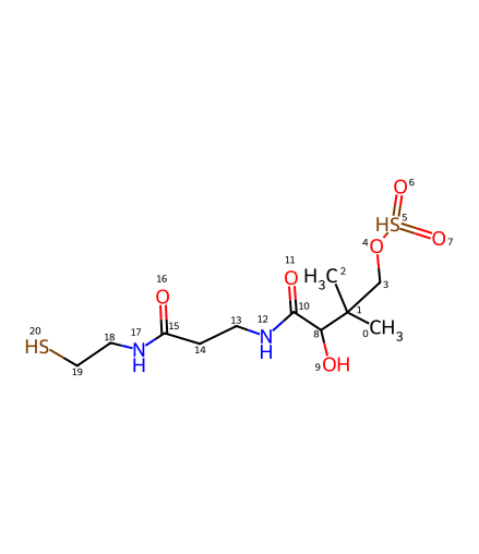 CC(C)(CO[SH](=O)=O)C(O)C(=O)NCCC(=O)NCCS